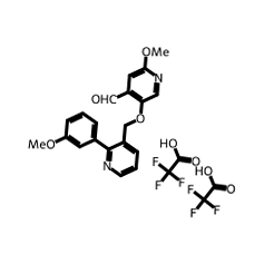 COc1cccc(-c2ncccc2COc2cnc(OC)cc2C=O)c1.O=C(O)C(F)(F)F.O=C(O)C(F)(F)F